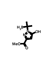 BC(C)(C)n1nc(C(=O)OC)cc1O